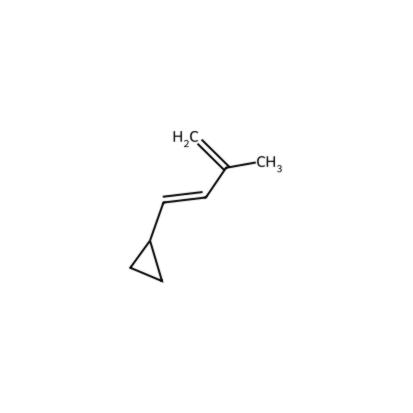 C=C(C)C=CC1CC1